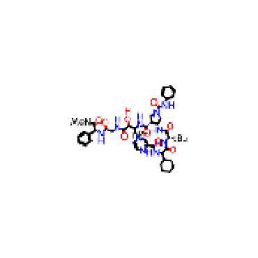 CCC[C@H](NC(=O)[C@@H]1CN(C(=O)Nc2ccccc2)C[C@@H]1NC(=O)[C@@H](NC(=O)[C@@H](NC(=O)c1cnccn1)C1CCCCC1)C(C)(C)C)C(O)C(=O)NCC(=O)N[C@H](C(=O)NC)c1ccccc1